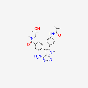 C=C(C)C(=O)Nc1ccc(-c2c(-c3ccc(C(=O)N(C)CC(C)(C)O)cc3)c3c(N)ncnc3n2C)cc1